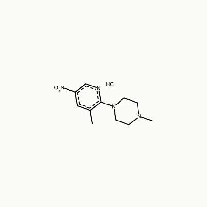 Cc1cc([N+](=O)[O-])cnc1N1CCN(C)CC1.Cl